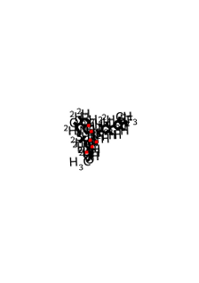 [2H]c1c([2H])c(F)c(F)c(C([2H])([2H])Sc2c([2H])c(=O)c3c([2H])c([2H])c([2H])c([2H])c3n2CC(=O)N(C2CCN(C([2H])([2H])C([2H])([2H])OC)CC2)C([2H])([2H])c2c([2H])c([2H])c(-c3c([2H])c([2H])c(C(F)(F)F)c(C)c3[2H])c([2H])c2[2H])c1[2H]